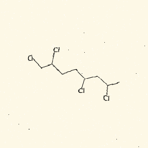 CC(Cl)CC(Cl)CCC(Cl)CCl